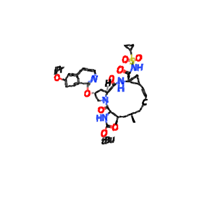 CC(C)Oc1ccc2c(O[C@@H]3C[C@H]4C(=O)N[C@]5(C(=O)NS(=O)(=O)C6CC6)CC5/C=C\CC[C@@H](C)C[C@@H](C)C(NC(=O)OC(C)(C)C)C(=O)N4C3)nccc2c1